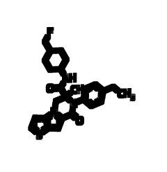 CCc1ccc(N2C(=O)c3cc4sccc4n3CC2(C)C(=O)NC2CCC(CF)CC2)cc1